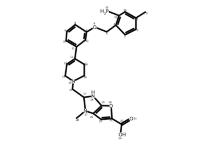 Cc1ccc(COc2cccc(C3=CCN(CC4Nc5oc(C(=O)O)cc5N4C)CC3)c2)c(P)c1